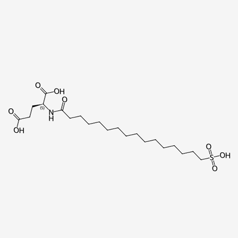 O=C(O)CC[C@H](NC(=O)CCCCCCCCCCCCCCCS(=O)(=O)O)C(=O)O